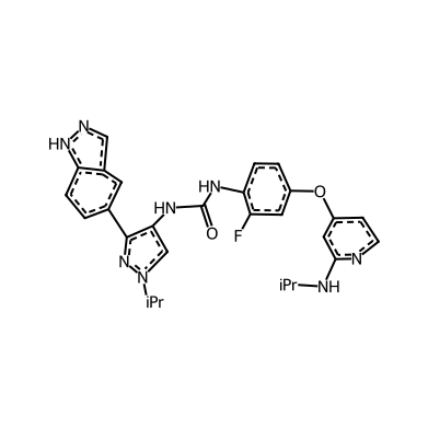 CC(C)Nc1cc(Oc2ccc(NC(=O)Nc3cn(C(C)C)nc3-c3ccc4[nH]ncc4c3)c(F)c2)ccn1